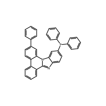 c1ccc(-c2ccc3c4ccccc4c4nc5ccc(P(c6ccccc6)c6ccccc6)cc5n4c3c2)cc1